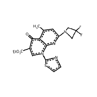 CCOC(=O)c1cn(-c2nccs2)c2nc(N3CC(F)(F)C3)cc(C)c2c1=O